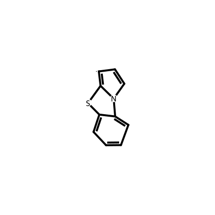 [c]1ccn2c1sc1ccccc12